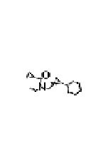 C=CN(C[C@H]1CC1c1ccccc1)C(=O)C1CC1